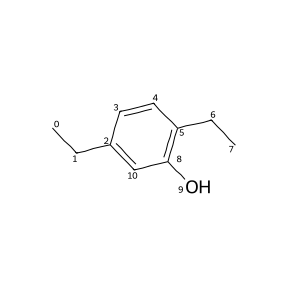 CCc1ccc(CC)c(O)c1